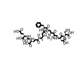 C[C@H](CCC(=O)N[C@@H](Cc1ccccc1)C(=O)NC[C@H](N)C(=O)C(N)CN[C@@H](CC(=O)O)C(=O)N[C@@H](CS)C(=O)O)NC(=O)CC[C@H](NC(=O)N[C@@H](CCC(=O)O)C(=O)O)C(=O)O